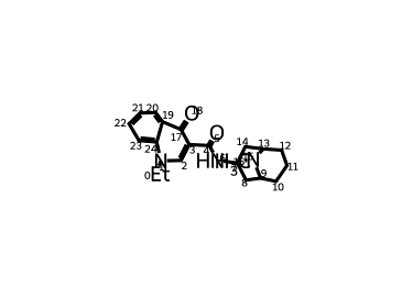 CCn1cc(C(=O)NC2CC3CCCC(C2)N3C)c(=O)c2ccccc21